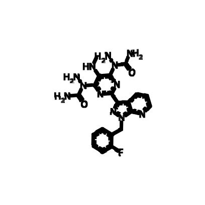 CNc1c(N(N)C(N)=O)nc(-c2nn(Cc3ccccc3F)c3ncccc23)nc1N(N)C(N)=O